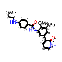 COCCNc1ccc(C(=O)Nc2cc(-c3ccc[nH]c3=O)cc(C(C)(C)C)c2OC)cc1